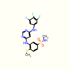 CNS(=O)(=O)c1ccc(SC)c(Nc2cc(Nc3cc(F)c(F)c(F)c3)ncn2)c1